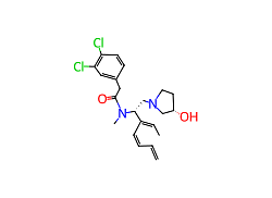 C=C/C=C\C(=C/C)[C@@H](CN1CC[C@H](O)C1)N(C)C(=O)Cc1ccc(Cl)c(Cl)c1